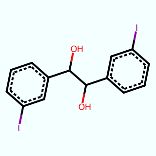 OC(c1cccc(I)c1)C(O)c1cccc(I)c1